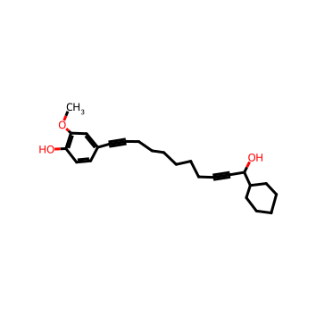 COc1cc(C#CCCCCCCC#CC(O)C2CCCCC2)ccc1O